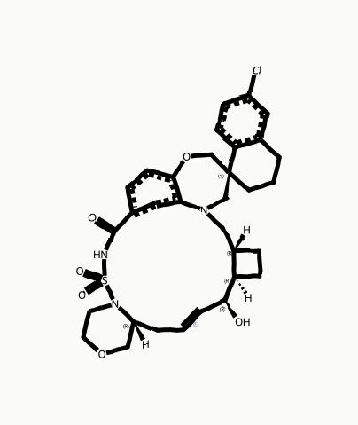 O=C1NS(=O)(=O)N2CCOC[C@H]2C/C=C/[C@H](O)[C@@H]2CC[C@H]2CN2C[C@@]3(CCCc4cc(Cl)ccc43)COc3ccc1cc32